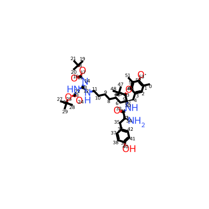 Cc1cc(C[C@](CCCCCCNC(=NC(=O)OC(C)(C)C)NC(=O)OC(C)(C)C)(NC(=O)[C@@H](N)Cc2ccc(O)cc2)C(=O)C(C)(C)C)cc(C)c1[O]